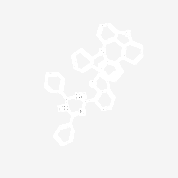 c1ccc(C2=NC(c3cccc4c3oc3ccc(-c5cccc6sc7cccc(-n8c9ccccc9c9ccccc98)c7c56)cc34)NC(c3ccccc3)N2)cc1